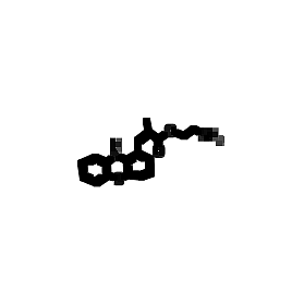 CC(=Cc1cccc2c1Nc1ccccc1S2)C(=O)OCCN